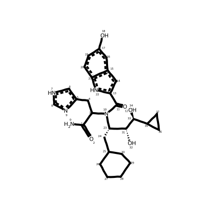 NC(=O)C(Cc1c[nH]cn1)N(C(=O)c1cc2cc(O)ccc2[nH]1)[C@@H](CC1CCCCC1)[C@@H](O)[C@@H](O)C1CC1